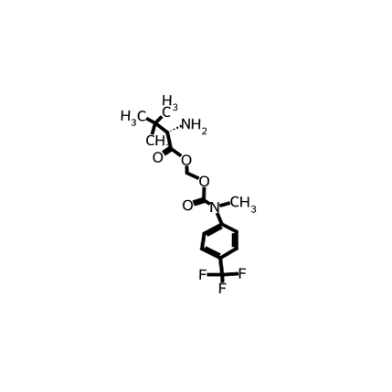 CN(C(=O)OCOC(=O)[C@@H](N)C(C)(C)C)c1ccc(C(F)(F)F)cc1